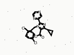 O=C(O)c1c(C2CC2)nc(-c2cnccn2)n1Cc1cc(Cl)ccc1Cl